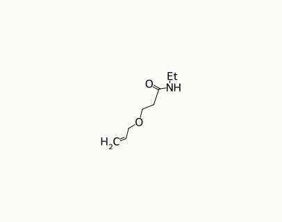 C=CCOCCC(=O)NCC